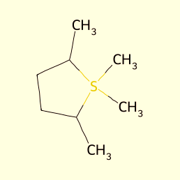 CC1CCC(C)S1(C)C